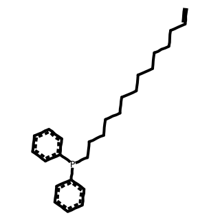 C=CCCCCCCCCCCCCP(c1ccccc1)c1ccccc1